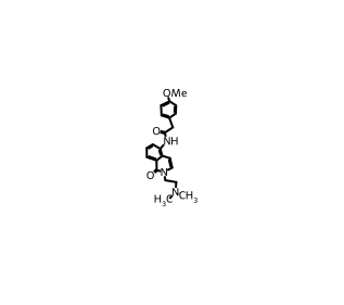 COc1ccc(CC(=O)Nc2cccc3c(=O)n(CCN(C)C)ccc23)cc1